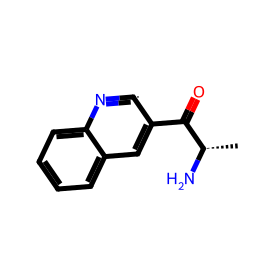 C[C@H](N)C(=O)c1[c]nc2ccccc2c1